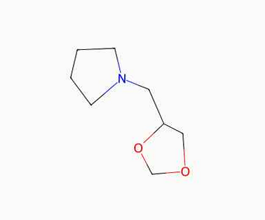 C1CCN(CC2COCO2)C1